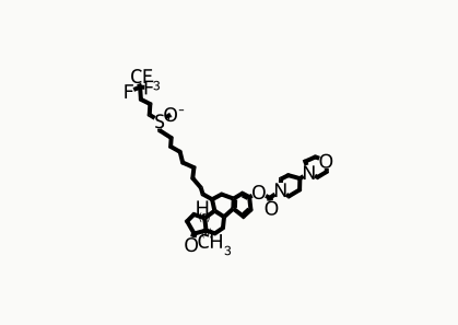 C[C@]12CCC3c4ccc(OC(=O)N5CCC(N6CCOCC6)CC5)cc4CC(CCCCCCCCC[S+]([O-])CCCC(F)(F)C(F)(F)F)C3[C@@H]1CCC2=O